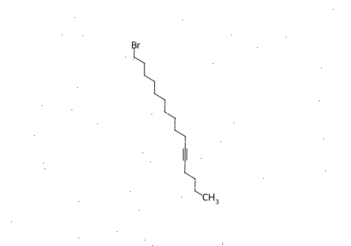 CCCCC#CCCCCCCCCCCBr